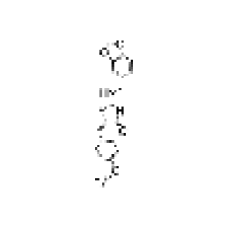 O=C1N=C(NCc2ccc3c(c2)OCO3)S/C1=C/c1ccc(OC(F)(F)F)cc1